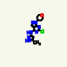 Cc1cc(Nc2nc(Cl)nc3c2cnn3C2CCOCC2)n[nH]1